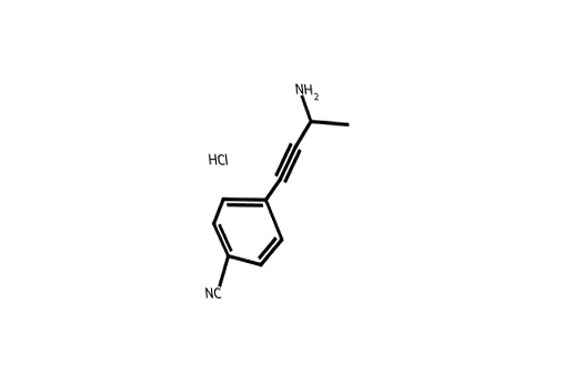 CC(N)C#Cc1ccc(C#N)cc1.Cl